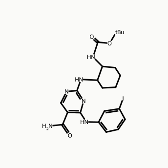 CC(C)(C)OC(=O)NC1CCCCC1Nc1ncc(C(N)=O)c(Nc2cccc(I)c2)n1